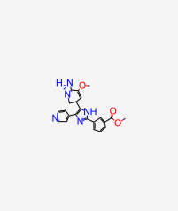 COC(=O)c1cccc(-c2nc(-c3ccncc3)c(C3C=C(OC)C(N)=NC3)[nH]2)c1